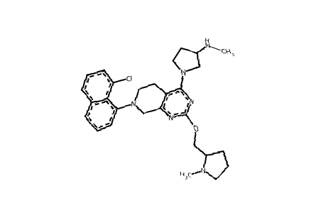 CNC1CCN(c2nc(OCC3CCCN3C)nc3c2CCN(c2cccc4cccc(Cl)c24)C3)C1